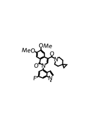 COc1cc2c(C(=O)N3CCC4(CC3)CC4)cn(-c3cc(F)cc4c3ccn4C)c(=O)c2cc1OC